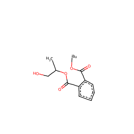 CCC(C)OC(=O)c1ccccc1C(=O)OC(C)CO